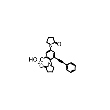 O=C(O)c1cc(N2CCCC2=O)cc(C#Cc2ccccc2)c1N1CCCC1=O